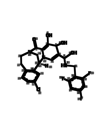 O=C1C2=C(O)C(O)C(C(O)NCc3c(F)cc(F)cc3F)=CN2[C@@H]2CN1CCc1ccc(Cl)cc12